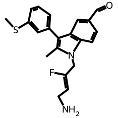 CSc1cccc(-c2c(C)n(C/C(F)=C/CN)c3ccc(C=O)cc23)c1